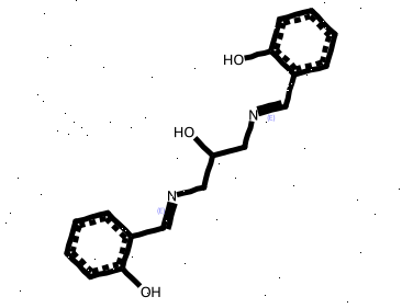 Oc1ccccc1/C=N/CC(O)C/N=C/c1ccccc1O